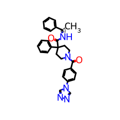 C[C@H](NC(=O)C1(c2ccccc2)CCN(C(=O)c2ccc(-n3cnnc3)cc2)CC1)c1ccccc1